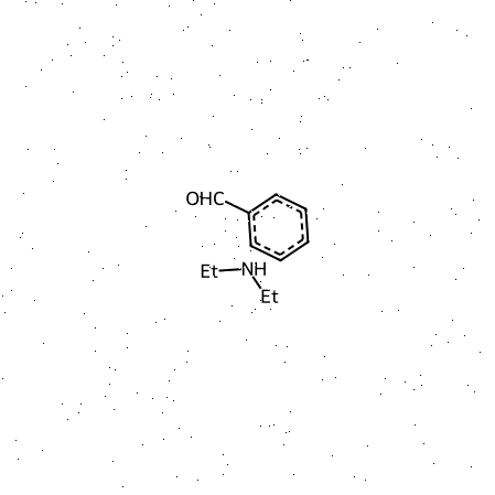 CCNCC.O=Cc1ccccc1